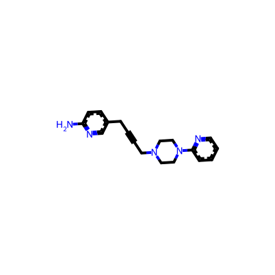 Nc1ccc(CC#CCN2CCN(c3ccccn3)CC2)cn1